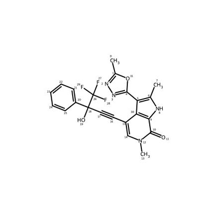 Cc1nnc(-c2c(C)[nH]c3c(=O)n(C)cc(C#CC(O)(c4ccccc4)C(F)(F)F)c23)o1